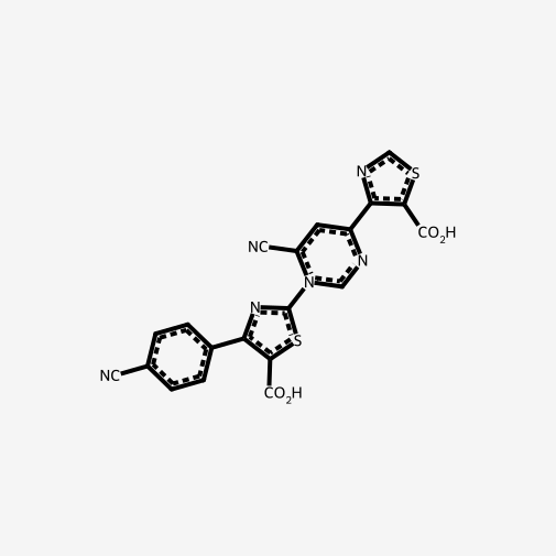 N#Cc1ccc(-c2nc(-[n+]3cnc(-c4ncsc4C(=O)O)cc3C#N)sc2C(=O)O)cc1